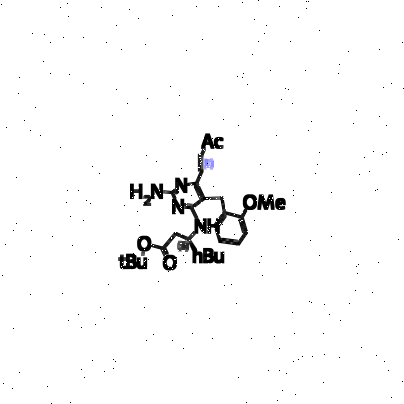 CCCC[C@@H](CC(=O)OC(C)(C)C)Nc1nc(N)nc(/C=C/C(C)=O)c1Cc1ccccc1OC